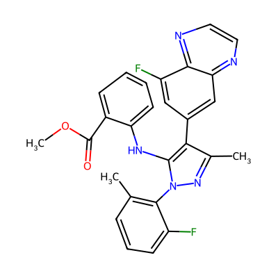 COC(=O)c1ccccc1Nc1c(-c2cc(F)c3nccnc3c2)c(C)nn1-c1c(C)cccc1F